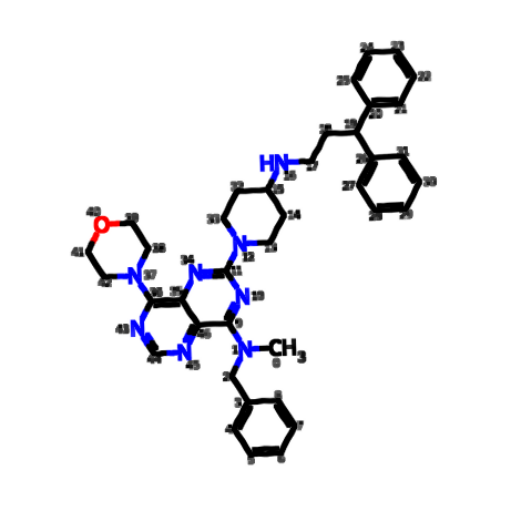 CN(Cc1ccccc1)c1nc(N2CCC(NCCC(c3ccccc3)c3ccccc3)CC2)nc2c(N3CCOCC3)ncnc12